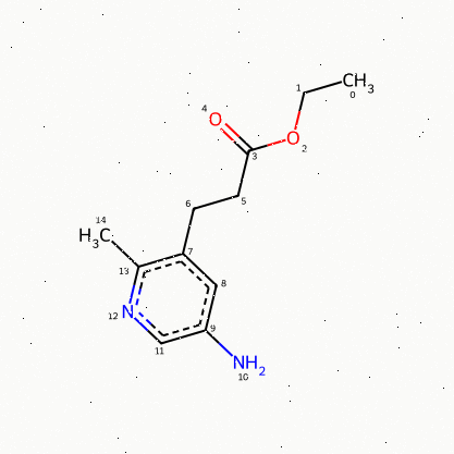 CCOC(=O)CCc1cc(N)cnc1C